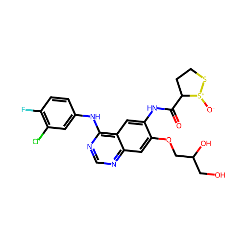 O=C(Nc1cc2c(Nc3ccc(F)c(Cl)c3)ncnc2cc1OCC(O)CO)C1CCS[S+]1[O-]